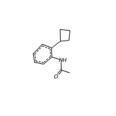 CC(=O)Nc1ccccc1C1CCC1